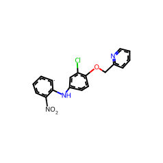 O=[N+]([O-])c1ccc[c]c1Nc1ccc(OCc2ccccn2)c(Cl)c1